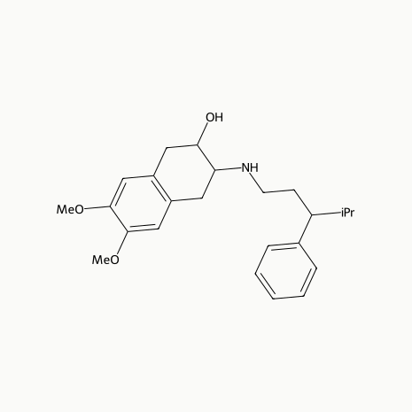 COc1cc2c(cc1OC)CC(NCCC(c1ccccc1)C(C)C)C(O)C2